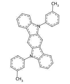 Cc1cccc(-n2c3ccccc3c3cc4c(cc32)c2ccccc2n4-c2cccc(C)c2)c1